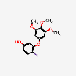 COc1cc(Oc2cc(O)ccc2I)cc(OC)c1OC